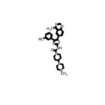 Cc1ncnc2ccc(-c3sc(NC(=O)N4CCC(N5CCN(C)CC5)CC4)nc3-c3cccc(C#N)c3)cc12